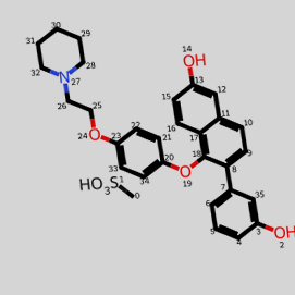 CS(=O)(=O)O.Oc1cccc(-c2ccc3cc(O)ccc3c2Oc2ccc(OCCN3CCCCC3)cc2)c1